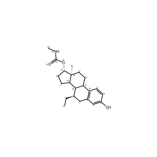 CC[C@@H]1Cc2cc(O)ccc2C2CC[C@@]3(C)C(CC[C@@H]3OC(=O)NC)C21